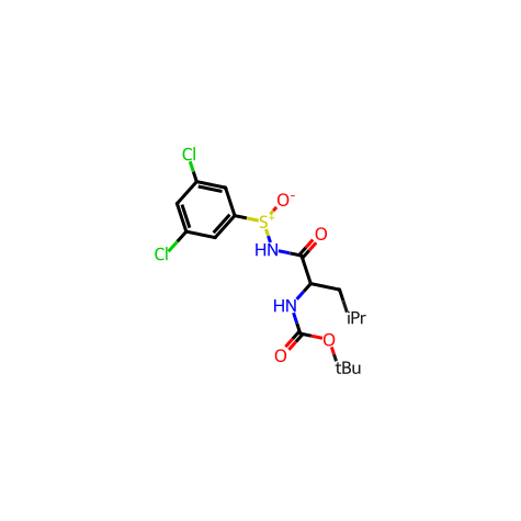 CC(C)CC(NC(=O)OC(C)(C)C)C(=O)N[S+]([O-])c1cc(Cl)cc(Cl)c1